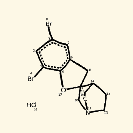 Brc1cc(Br)c2c(c1)CC1(CN3CCC1CC3)O2.Cl